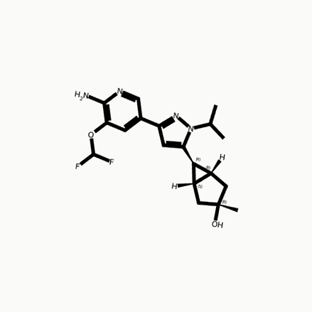 CC(C)n1nc(-c2cnc(N)c(OC(F)F)c2)cc1[C@H]1[C@@H]2C[C@](C)(O)C[C@@H]21